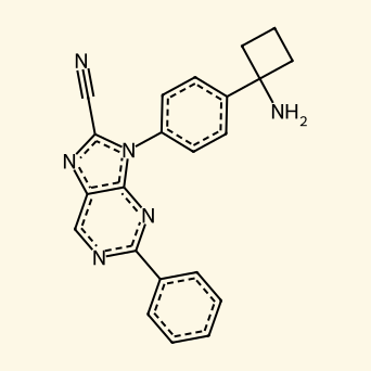 N#Cc1nc2cnc(-c3ccccc3)nc2n1-c1ccc(C2(N)CCC2)cc1